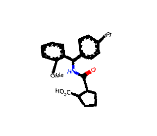 COc1ccccc1C(NC(=O)C1CCCC1C(=O)O)c1ccc(C(C)C)cc1